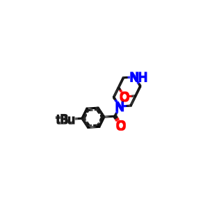 CC(C)(C)c1ccc(C(=O)N2CC3CNCC(C2)O3)cc1